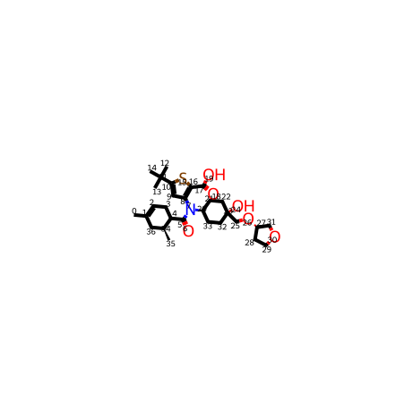 CC1=CCC(C(=O)N(c2cc(C(C)(C)C)sc2C(=O)O)[C@H]2CC[C@](O)(CO[C@H]3CCOC3)CC2)[C@@H](C)C1